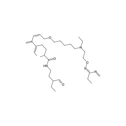 C=N/C(CC)=N\OCCN(CC)CCCCCOC/C=C\C(=C)/C(=C/C)CCC(C)C(=O)NCCC(C=O)CC